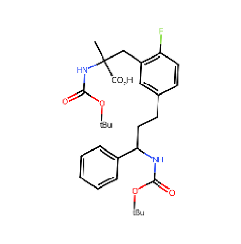 CC(C)(C)OC(=O)NC(CCc1ccc(F)c(CC(C)(NC(=O)OC(C)(C)C)C(=O)O)c1)c1ccccc1